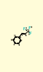 F[Si](F)(F)C=Cc1ccccc1